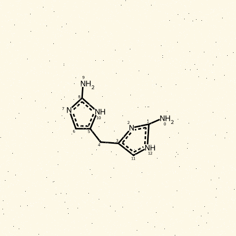 Nc1nc(Cc2cnc(N)[nH]2)c[nH]1